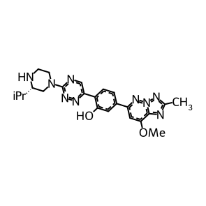 COc1cc(-c2ccc(-c3cnc(N4CCN[C@@H](C(C)C)C4)nn3)c(O)c2)nn2nc(C)nc12